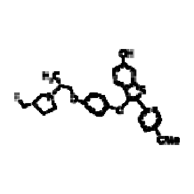 COc1ccc(-c2sc3cc(O)ccc3c2Oc2ccc(OC[C@H](C)N3CC[C@@H](CF)C3)cc2)cc1